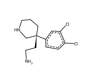 NCC[C@]1(c2ccc(Cl)c(Cl)c2)CCCNC1